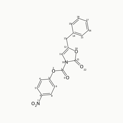 O=C(Oc1ccc([N+](=O)[O-])cc1)n1cc(Cc2ccccc2)oc1=O